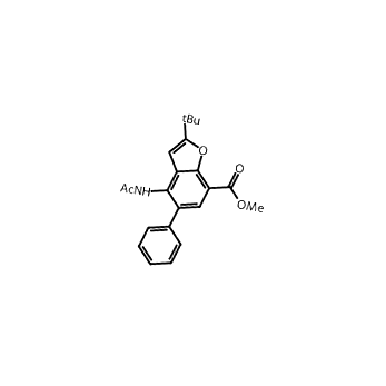 COC(=O)c1cc(-c2ccccc2)c(NC(C)=O)c2cc(C(C)(C)C)oc12